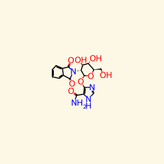 NC(=O)c1[nH]cnc1O[C@@H]1O[C@H](CO)[C@@H](O)[C@H](O)[C@H]1N1C(=O)c2ccccc2C1=O